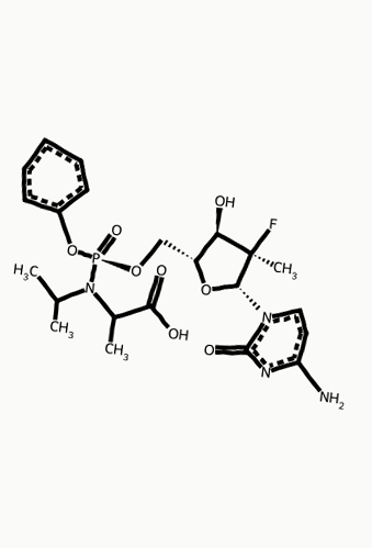 CC(C)N(C(C)C(=O)O)[P@](=O)(OC[C@H]1O[C@@H](n2ccc(N)nc2=O)[C@](C)(F)[C@@H]1O)Oc1ccccc1